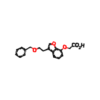 O=C(O)COc1cccc2c(CCOCc3ccccc3)coc12